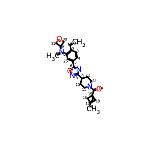 C=Cc1ccc(-c2nc(C3CCN(C(=O)C45CC(C)(C4)C5)CC3)no2)cc1N(C)C1COC1